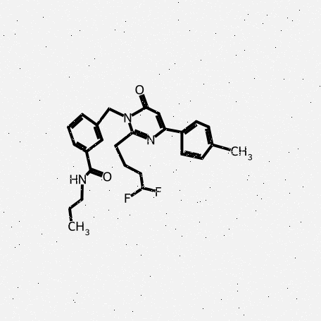 CCCNC(=O)c1cccc(Cn2c(CCCC(F)F)nc(-c3ccc(C)cc3)cc2=O)c1